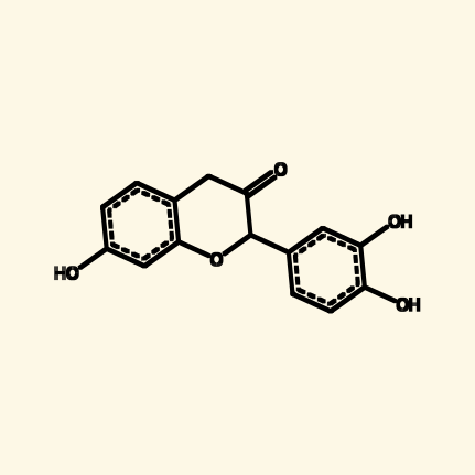 O=C1Cc2ccc(O)cc2OC1c1ccc(O)c(O)c1